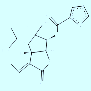 C/C=C1/C(=O)N[C@H]2[C@H]1[C@H](C(C)O)[C@@](C)(O)[C@H]2OC(=O)c1ccc[nH]1